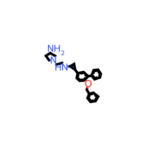 N[C@@H]1CCN(CCNC2CC2c2ccc(OCc3ccccc3)c(-c3ccccc3)c2)C1